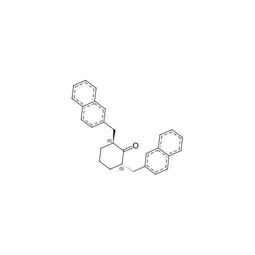 O=C1[C@H](Cc2ccc3ccccc3c2)CCC[C@H]1Cc1ccc2ccccc2c1